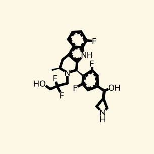 C[C@H]1Cc2c([nH]c3c(F)cccc23)[C@@H](c2c(F)cc(C(O)C3CNC3)cc2F)N1CC(F)(F)CO